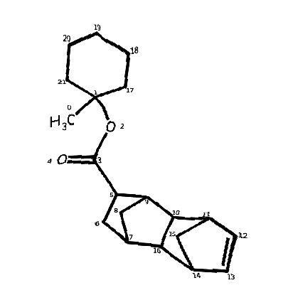 CC1(OC(=O)C2CC3CC2C2C4C=CC(C4)C32)CCCCC1